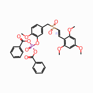 COc1cc(OC)c(/C=C/S(=O)(=O)Cc2ccc(OC)c(OP(=O)(OC(=O)c3ccccc3)OC(=O)c3ccccc3)c2)c(OC)c1